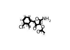 CC(=O)OC1=C(N)OC(c2cccc(Cl)c2F)C1=O